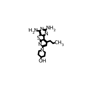 CCCc1cc(N2CCC(O)CC2)nc2sc3c(N)nc(N)nc3c12